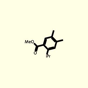 COC(=O)c1cc(C)c(C)cc1C(C)C